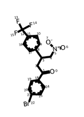 O=C(CC(C[N+](=O)[O-])c1ccc(C(F)(F)F)cc1)c1ccc(Br)cc1